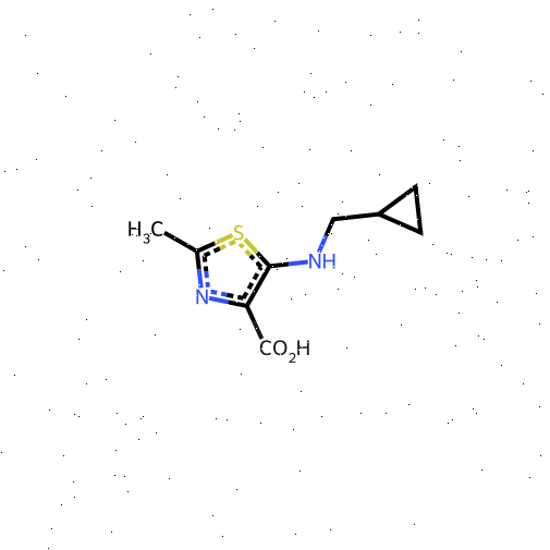 Cc1nc(C(=O)O)c(NCC2CC2)s1